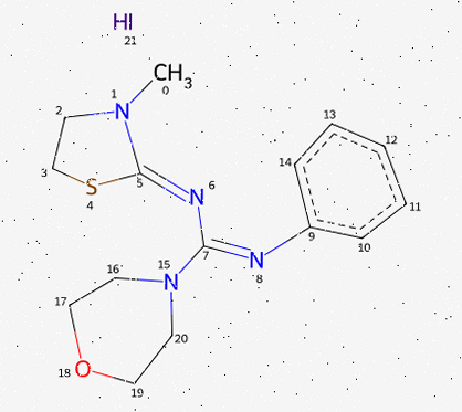 CN1CCSC1=NC(=Nc1ccccc1)N1CCOCC1.I